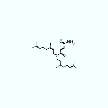 CC(C)=CCCC(C)=CCN(CC=C(C)CCC=C(C)C)C(=O)C=CC(N)=O